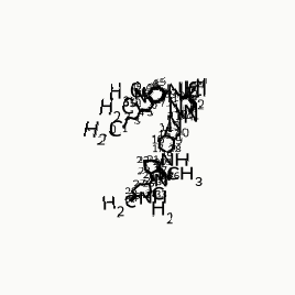 C=CCCC1=Cc2cc(Nc3nc(N4CC5CCC(Nc6cccc7c(C8CCC(=C)NC8=C)nn(C)c67)CC5C4)ncc3Cl)ccc2N(C)C1=C